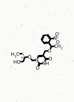 CC[C@@H](CO)OCn1cc(COC(C)c2ccccc2[N+](=O)[O-])c(=O)[nH]c1=O